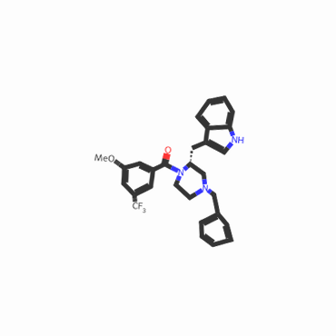 COc1cc(C(=O)N2CCN(Cc3ccccc3)C[C@H]2Cc2c[nH]c3ccccc23)cc(C(F)(F)F)c1